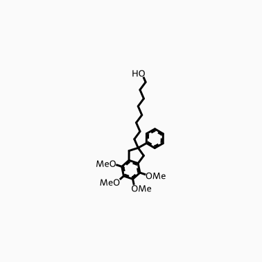 COc1c2c(c(OC)c(OC)c1OC)CC(CCCCCCCCO)(c1ccccc1)C2